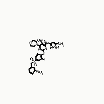 COc1c(Nc2cc(C)[nH]n2)nc(Sc2ccc(S(=O)(=O)Cc3cccc([N+](=O)[O-])c3)cc2F)nc1N1CCOCC1